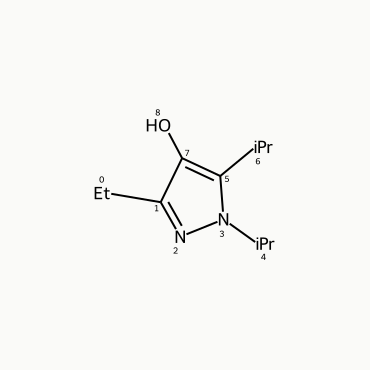 CCc1nn(C(C)C)c(C(C)C)c1O